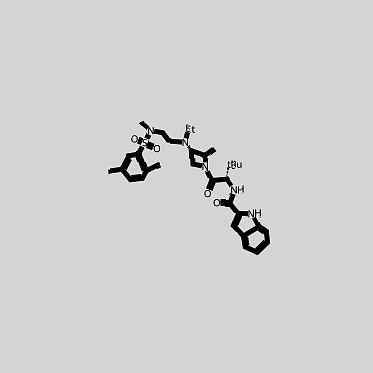 CCN(CCN(C)S(=O)(=O)c1cc(C)ccc1C)[C@@H]1CN(C(=O)[C@@H](NC(=O)c2cc3ccccc3[nH]2)C(C)(C)C)C1C